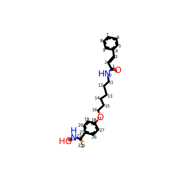 O=C(/C=C/c1ccccc1)NCCCCCCOc1ccc(C(=S)NO)cc1